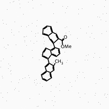 COC(=O)c1cc2ccccc2cc1-c1cccc2c(-c3cc4ccccc4cc3C)cccc12